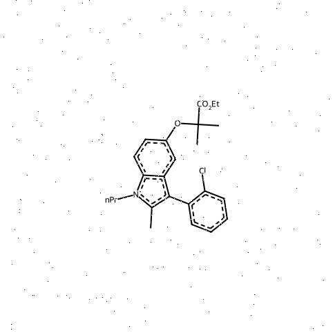 CCCn1c(C)c(-c2ccccc2Cl)c2cc(OC(C)(C)C(=O)OCC)ccc21